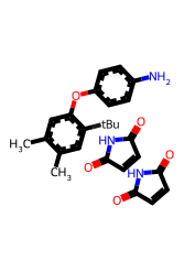 Cc1cc(Oc2ccc(N)cc2)c(C(C)(C)C)cc1C.O=C1C=CC(=O)N1.O=C1C=CC(=O)N1